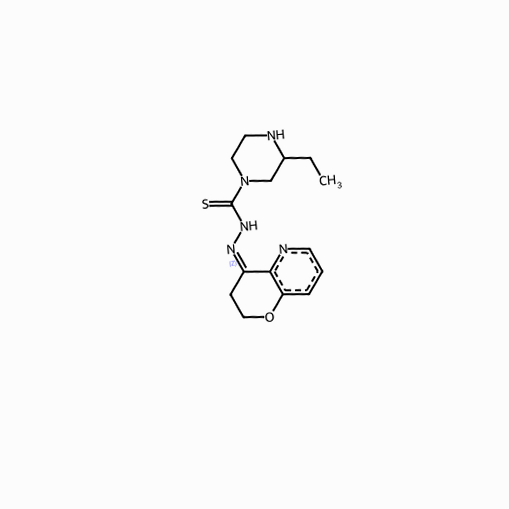 CCC1CN(C(=S)N/N=C2/CCOc3cccnc32)CCN1